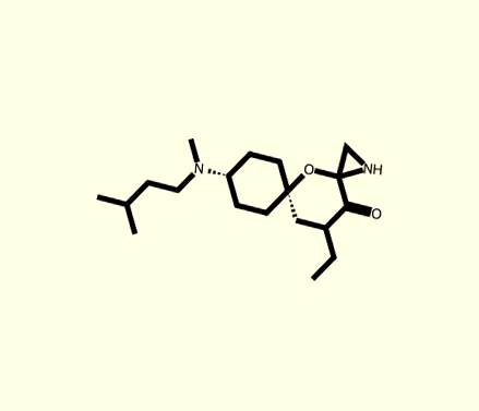 CCC1C[C@]2(CC[C@@H](N(C)CCC(C)C)CC2)OC2(CN2)C1=O